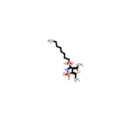 CCCCCCCCS(=O)(=O)C1=NS(=O)(=O)c2c(C)sc(C)c21